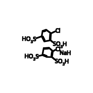 O=S(=O)(O)c1ccc(Cl)c(S(=O)(=O)O)c1.O=S(=O)(O)c1ccc(Cl)c(S(=O)(=O)O)c1.[NaH]